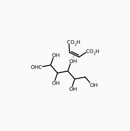 O=C(O)/C=C\C(=O)O.O=CC(O)C(O)C(O)C(O)CO